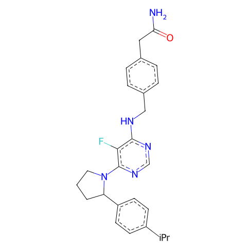 CC(C)c1ccc(C2CCCN2c2ncnc(NCc3ccc(CC(N)=O)cc3)c2F)cc1